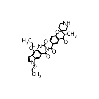 CCOc1cc(C(=O)N(C(N)=O)C(=O)c2ccc3c(c2)C(=O)[C@H](C)C2(CCNCC2)O3)cc2c1ccn2OCC